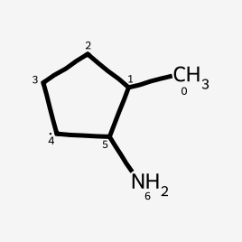 CC1CC[CH]C1N